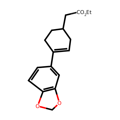 CCOC(=O)CC1CC=C(c2ccc3c(c2)OCO3)CC1